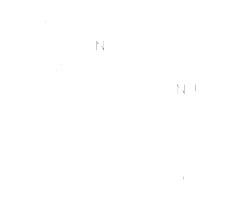 Nc1c(-c2ccnc(OC3CC3)c2)ccc2c1CCO2